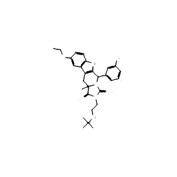 CCOc1ccc2[nH]c3c(c2c1)CC1(C)C(=O)N(CCNC(C)(C)C)C(=O)N1C3c1cccc(O)c1